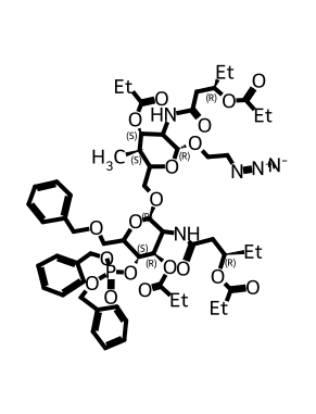 CCC(=O)O[C@H](CC)CC(=O)NC1[C@H](OCCN=[N+]=[N-])OC(CO[C@@H]2OC(COCc3ccccc3)[C@@H](OP(=O)(OCc3ccccc3)OCc3ccccc3)[C@H](OC(=O)CC)C2NC(=O)C[C@@H](CC)OC(=O)CC)[C@@H](C)[C@@H]1OC(=O)CC